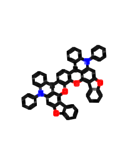 c1ccc(N2c3ccccc3B3c4ccc5c(c4Oc4c3c2cc2oc3ccccc3c42)Oc2c3c(cc4oc6ccccc6c24)N(c2ccccc2)c2ccccc2B53)cc1